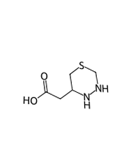 O=C(O)CC1CSCNN1